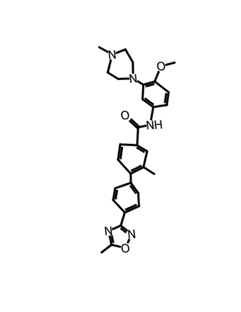 COc1ccc(NC(=O)c2ccc(-c3ccc(-c4noc(C)n4)cc3)c(C)c2)cc1N1CCN(C)CC1